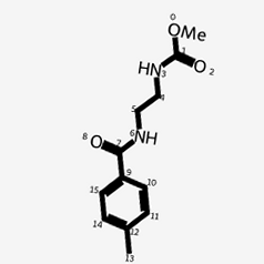 COC(=O)NCCNC(=O)c1ccc(C)cc1